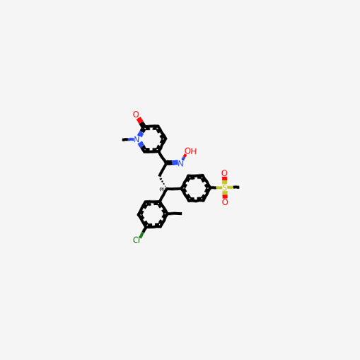 Cc1cc(Cl)ccc1[C@H](CC(=NO)c1ccc(=O)n(C)c1)c1ccc(S(C)(=O)=O)cc1